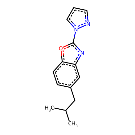 CC(C)Cc1ccc2oc(-n3cccn3)nc2c1